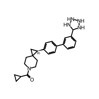 O=C(C1CC1)N1CCC2(CC1)C[C@H]2c1ccc(-c2cccc(C3NNNN3)c2)cc1